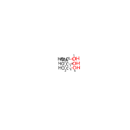 O=C(O)O.O=C(O)O.O=C(O)O.[Mn]